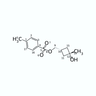 Cc1ccc(S(=O)(=O)OC[C@H]2C[C@@](C)(O)C2)cc1